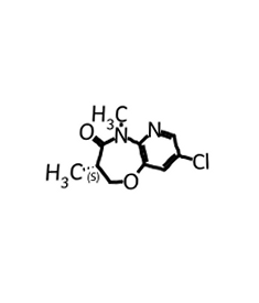 C[C@H]1COc2cc(Cl)cnc2N(C)C1=O